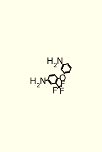 Nc1cccc(Oc2ccc(N)cc2C(F)(F)F)c1